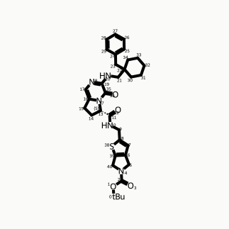 CC(C)(C)OC(=O)N1Cc2cc(CNC(=O)[C@@H]3CCc4cnc(NCC5(Cc6ccccc6)CCCCC5)c(=O)n43)sc2C1